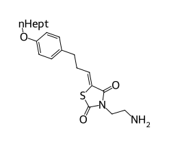 CCCCCCCOc1ccc(CC/C=C2\SC(=O)N(CCN)C2=O)cc1